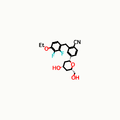 CCOc1ccc(Cc2cc([C@H]3C[C@@H](O)C[C@@H](CO)O3)ccc2C#N)c(F)c1F